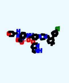 CC1(C)CCC(CN2CCN(c3ccc(C(=O)Nc4ccc(NCC5CCOCC5)c([N+](=O)[O-])c4)c(Oc4cnc5[nH]ccc5c4)c3)CC2)=C(c2ccc(Cl)cc2)C1